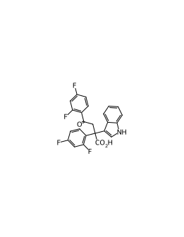 O=C(CC(C(=O)O)(c1ccc(F)cc1F)c1c[nH]c2ccccc12)c1ccc(F)cc1F